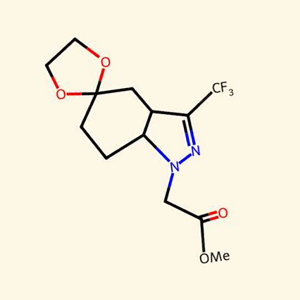 COC(=O)CN1N=C(C(F)(F)F)C2CC3(CCC21)OCCO3